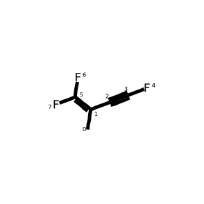 CC(C#CF)=C(F)F